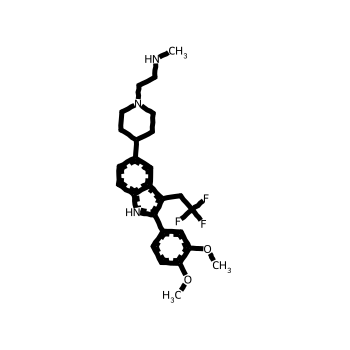 CNCCN1CCC(c2ccc3[nH]c(-c4ccc(OC)c(OC)c4)c(CC(F)(F)F)c3c2)CC1